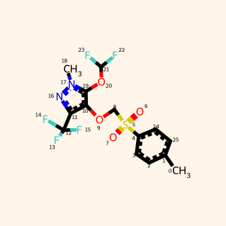 Cc1ccc(S(=O)(=O)COc2c(C(F)(F)F)nn(C)c2OC(F)F)cc1